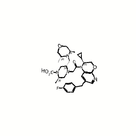 C[C@@H]1CN(CC(=O)N2c3cc(Cc4ccc(F)cc4)cnc3OC[C@@H]2C2CC2)[C@@H](CN2[C@H](C)COC[C@H]2C)CN1C(=O)O